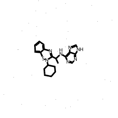 CC(Nc1ncnc2[nH]cnc12)C1=Nc2ccccc2SN1C1CCCCC1